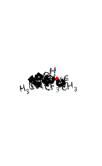 C[C@H]1CCN(Cc2cc3c(C(F)(F)F)cn(-c4cccc(C5(c6nncn6C)CCC5)c4)c(=O)c3[nH]2)CC1(F)F